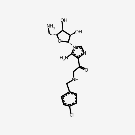 NC[C@H]1O[C@@H](n2cnc(C(=O)CNCc3ccc(Cl)cc3)c2N)[C@H](O)[C@@H]1O